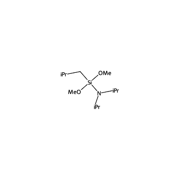 CO[Si](CC(C)C)(OC)N(C(C)C)C(C)C